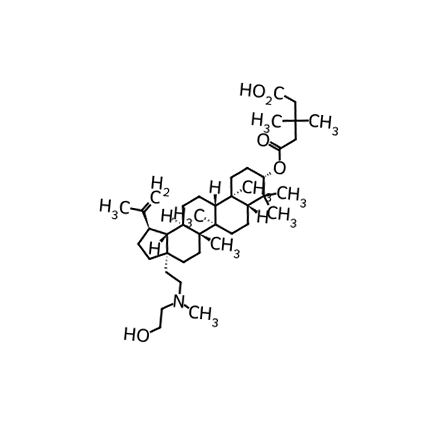 C=C(C)[C@@H]1CC[C@]2(CCN(C)CCO)CC[C@]3(C)[C@H](CC[C@@H]4[C@@]5(C)CC[C@H](OC(=O)CC(C)(C)CC(=O)O)C(C)(C)[C@@H]5CC[C@]43C)[C@@H]12